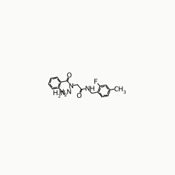 Cc1ccc(CNC(=O)CN(N)C(=O)c2ccccc2N)c(F)c1